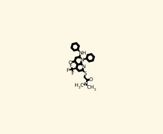 CN(C)C(=O)CSc1cc(C(F)(F)F)c2c(=O)cc(Nc3ccccc3)n(-c3ccccc3)c2n1